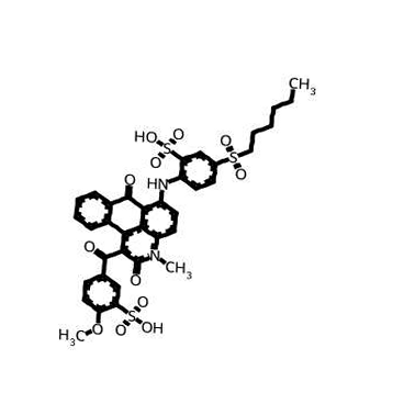 CCCCCCS(=O)(=O)c1ccc(Nc2ccc3c4c2C(=O)c2ccccc2-c4c(C(=O)c2ccc(OC)c(S(=O)(=O)O)c2)c(=O)n3C)c(S(=O)(=O)O)c1